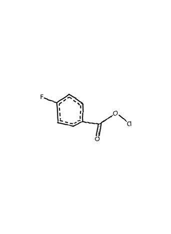 O=C(OCl)c1ccc(F)cc1